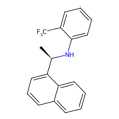 C[C@@H](Nc1cc[c]cc1C(F)(F)F)c1cccc2ccccc12